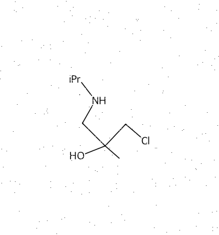 CC(C)NCC(C)(O)CCl